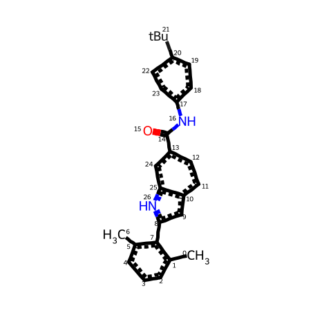 Cc1cccc(C)c1-c1cc2ccc(C(=O)Nc3ccc(C(C)(C)C)cc3)cc2[nH]1